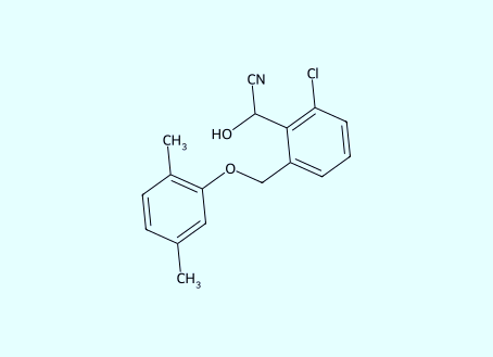 Cc1ccc(C)c(OCc2cccc(Cl)c2C(O)C#N)c1